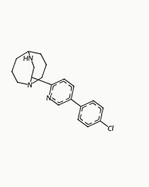 Clc1ccc(-c2ccc(C3CNC4CCCN3CCC4)nc2)cc1